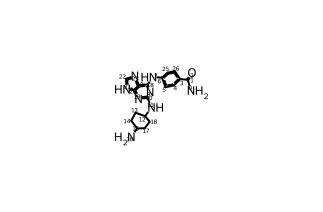 NC(=O)c1ccc(Nc2nc(NC3CCC(N)CC3)nc3[nH]cnc23)cc1